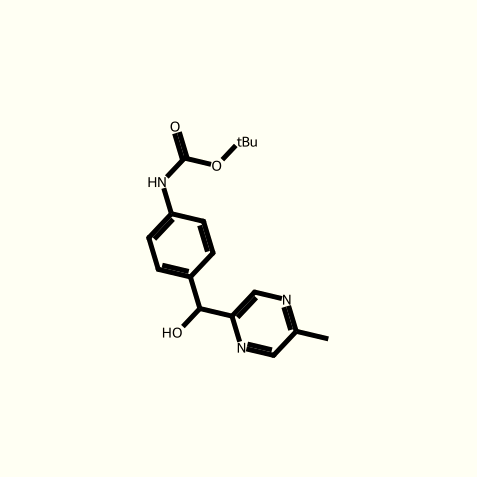 Cc1cnc(C(O)c2ccc(NC(=O)OC(C)(C)C)cc2)cn1